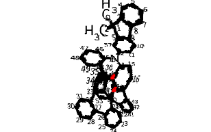 CC1(C)c2ccccc2-c2ccc(N(c3ccc4c(c3)C3(c5ccccc5-c5ccccc5-c5ccccc53)c3ccccc3-4)c3ccccc3-c3ccccc3)cc21